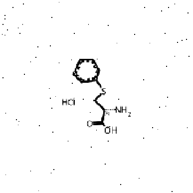 Cl.N[C@@H](CSc1ccccc1)C(=O)O